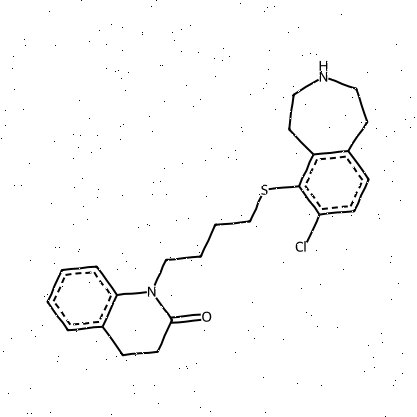 O=C1CCc2ccccc2N1CCCCSc1c(Cl)ccc2c1CCNCC2